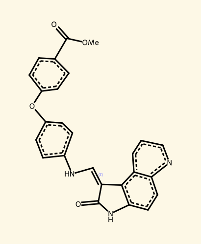 COC(=O)c1ccc(Oc2ccc(N/C=C3\C(=O)Nc4ccc5ncccc5c43)cc2)cc1